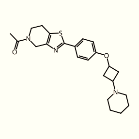 CC(=O)N1CCc2sc(-c3ccc(OC4CC(N5CCCCC5)C4)cc3)nc2C1